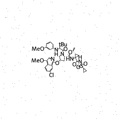 C=C[C@@H]1C[C@]1(NC(=O)[C@@H]1C[C@@H](Oc2ncc(OC)c3ccc(Cl)cc23)CN1C(=O)[C@@H](Nc1cccc(OC)c1)C(C)(C)C)C(=O)NS(=O)(=O)C1CC1